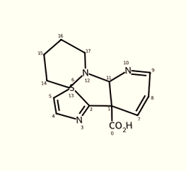 O=C(O)C1(c2nccs2)C=CC=NC1N1CCCCC1